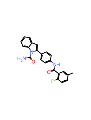 Cc1ccc(F)c(C(=O)Nc2ccc(-c3cc4ccccc4n3C(N)=O)cc2)c1